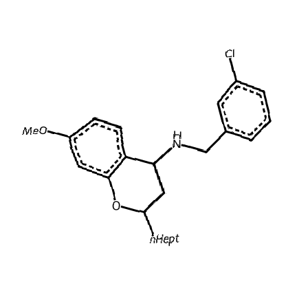 CCCCCCCC1CC(NCc2cccc(Cl)c2)c2ccc(OC)cc2O1